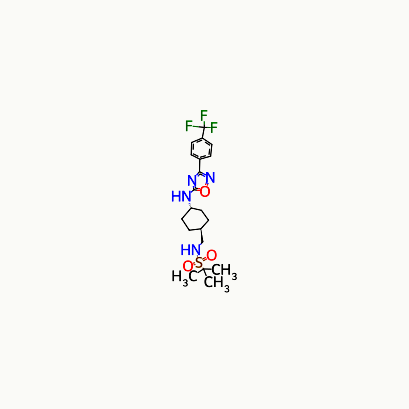 CC(C)(C)S(=O)(=O)NC[C@H]1CC[C@H](Nc2nc(-c3ccc(C(F)(F)F)cc3)no2)CC1